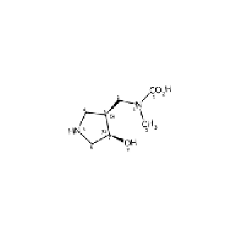 CN(C[C@@H]1CNC[C@@H]1O)C(=O)O